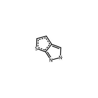 C1=c2ccsc2=N[N]1